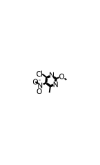 COc1nc(C)c([N+](=O)[O-])c(Cl)n1